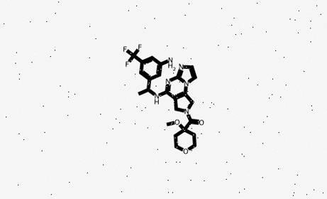 COC1(C(=O)N2Cc3c(NC(C)c4cc(N)cc(C(F)(F)F)c4)nc4nccn4c3C2)CCOCC1